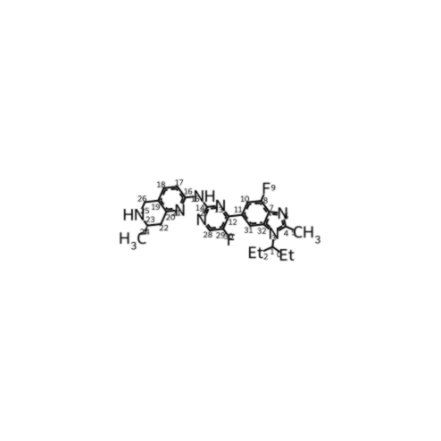 CCC(CC)n1c(C)nc2c(F)cc(-c3nc(Nc4ccc5c(n4)C[C@@H](C)NC5)ncc3F)cc21